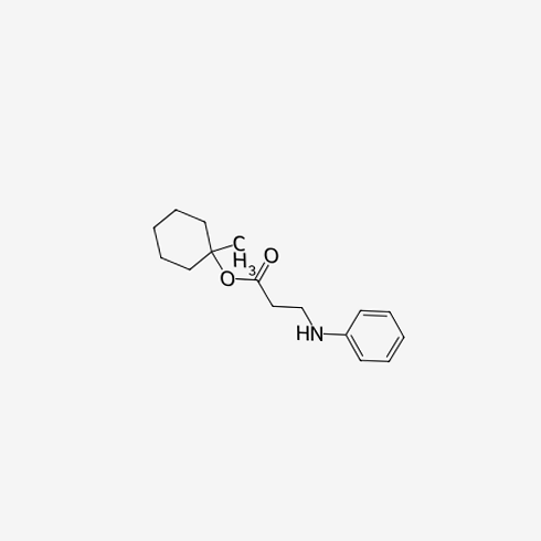 CC1(OC(=O)CCNc2ccccc2)CCCCC1